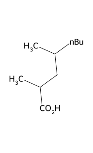 CCCCC(C)CC(C)C(=O)O